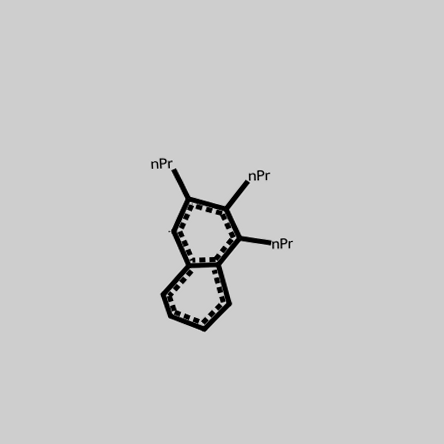 CCCc1[c]c2ccccc2c(CCC)c1CCC